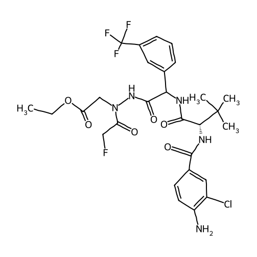 CCOC(=O)CN(NC(=O)C(NC(=O)[C@@H](NC(=O)c1ccc(N)c(Cl)c1)C(C)(C)C)c1cccc(C(F)(F)F)c1)C(=O)CF